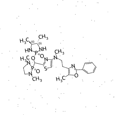 Cc1oc(-c2ccccc2)nc1CCN(C)c1csc(C(OP2(=O)N[C@@H](C)[C@H](C)N2)P2(=O)N(C)CCN2C)n1